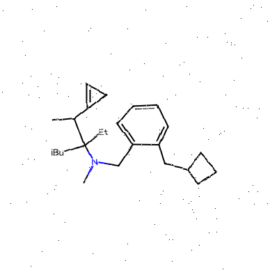 CCC(C)C(CC)(C(C)C1=CC1)N(C)Cc1ccccc1CC1CCC1